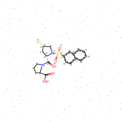 O=C(O)C1CCCN1C(=O)[C@@H]1C[C@H](S)CN1S(=O)(=O)c1ccc2ccccc2c1